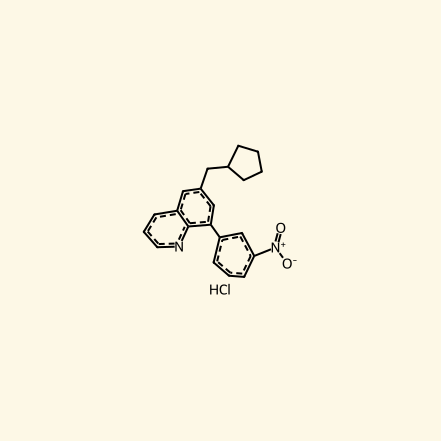 Cl.O=[N+]([O-])c1cccc(-c2cc(CC3CCCC3)cc3cccnc23)c1